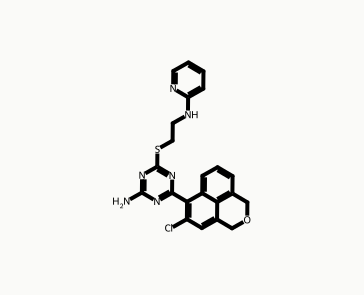 Nc1nc(SCCNc2ccccn2)nc(-c2c(Cl)cc3c4c(cccc24)COC3)n1